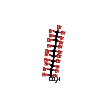 O=C(O)C(Br)(Br)C(Br)(Br)C(Br)(Br)C(Br)(Br)C(Br)(Br)C(Br)(Br)C(Br)(Br)C(Br)(Br)C(Br)(Br)C(Br)(Br)Br